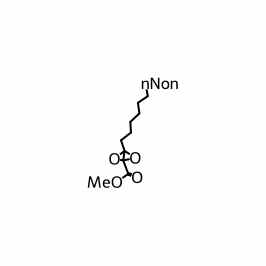 CCCCCCCCCCCCCCCC12OC1(C(=O)OC)O2